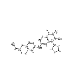 CC(=O)c1c(C)c2cnc(Nc3ccc4c(n3)CC[C@@H](CO)C4)nc2n(C2CCCC2)c1=O